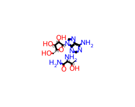 C[C@@H](O)[C@H](N)C(N)=O.Nc1ncnc2c1ncn2[C@@H]1O[C@H](CO)[C@@H](O)[C@H]1O